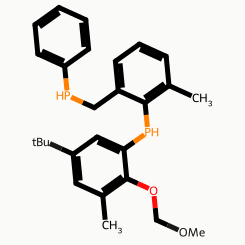 COCOc1c(C)cc(C(C)(C)C)cc1Pc1c(C)cccc1CPc1ccccc1